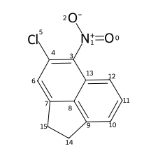 O=[N+]([O-])c1c(Cl)cc2c3c(cccc13)CC2